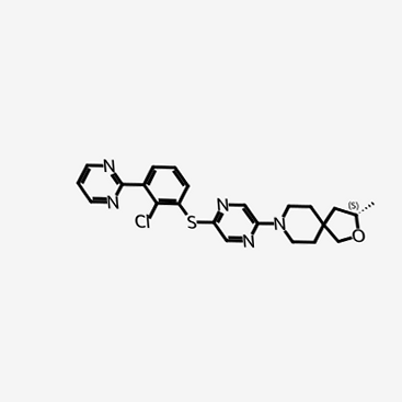 C[C@H]1CC2(CCN(c3cnc(Sc4cccc(-c5ncccn5)c4Cl)cn3)CC2)CO1